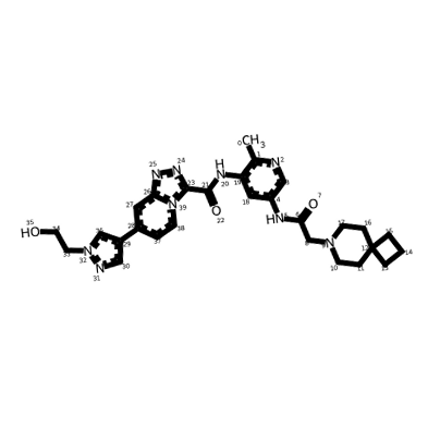 Cc1ncc(NC(=O)CN2CCC3(CCC3)CC2)cc1NC(=O)c1nnc2cc(-c3cnn(CCO)c3)ccn12